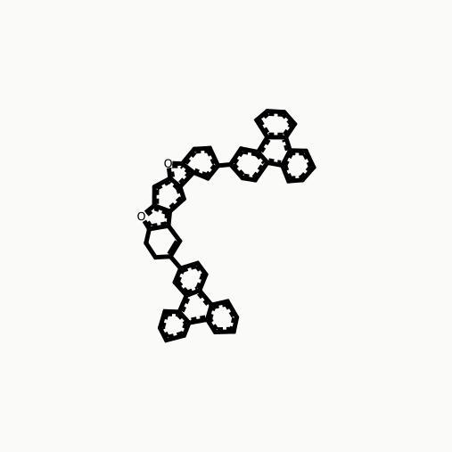 C1=C(c2ccc3c4ccccc4c4ccccc4c3c2)CCc2oc3cc4oc5ccc(-c6ccc7c8ccccc8c8ccccc8c7c6)cc5c4cc3c21